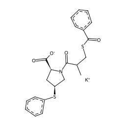 CC(CSC(=O)c1ccccc1)C(=O)N1C[C@@H](Sc2ccccc2)C[C@H]1C(=O)[O-].[K+]